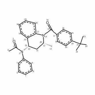 CC(=O)N(c1ccccc1)[C@H]1C[C@@H](C)N(C(=O)c2ccc(C(C)(C)C)cc2)c2ccccc21